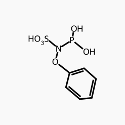 O=S(=O)(O)N(Oc1ccccc1)P(O)O